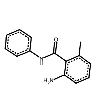 Cc1cccc(N)c1C(=O)Nc1ccccc1